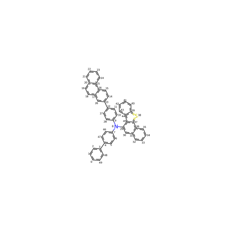 c1ccc(-c2ccc(N(c3ccc(-c4ccc5c(ccc6ccccc65)c4)cc3)c3cc4ccccc4c4sc5ccccc5c34)cc2)cc1